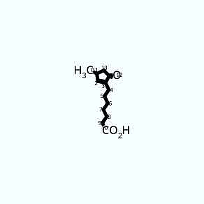 CC1C=C(CCCCCCC(=O)O)C(=O)C1